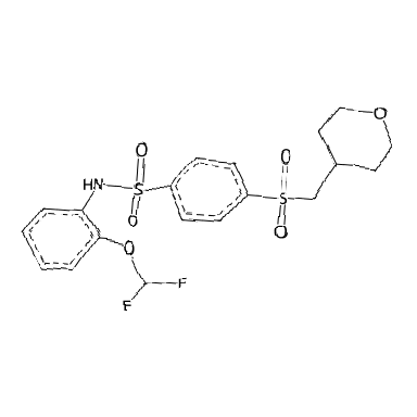 O=S(=O)(CC1CCOCC1)c1ccc(S(=O)(=O)Nc2ccccc2OC(F)F)cc1